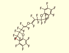 FC(OC(F)=C(F)C(F)(F)C(F)(Oc1c(F)c(F)c(F)c(F)c1F)C(F)(F)F)=C(F)C(F)(F)C(F)(Oc1c(F)c(F)c(F)c(F)c1F)C(F)(F)F